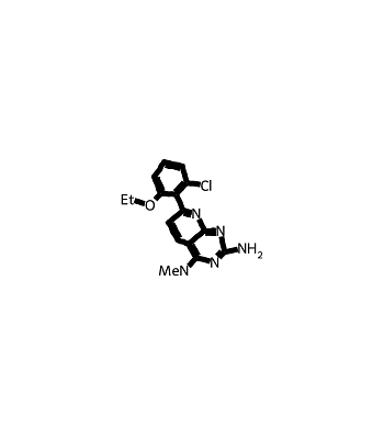 CCOc1cccc(Cl)c1-c1ccc2c(NC)nc(N)nc2n1